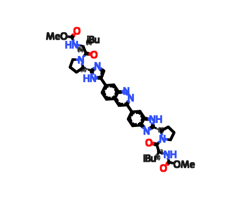 CC[C@H](C)[C@H](NC(=O)OC)C(=O)N1CCC[C@H]1c1ncc(-c2ccc3cc(-c4ccc5nc([C@@H]6CCCN6C(=O)[C@@H](NC(=O)OC)[C@@H](C)CC)[nH]c5c4)nnc3c2)[nH]1